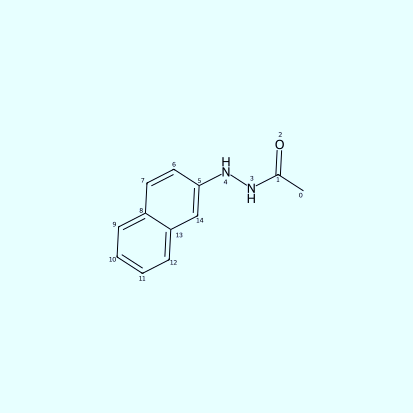 CC(=O)NNc1ccc2ccccc2c1